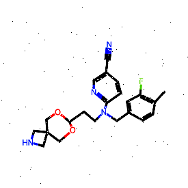 Cc1ccc(CN(CCC2OCC3(CNC3)CO2)c2ccc(C#N)cn2)cc1F